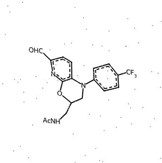 CC(=O)NCC1CN(c2ccc(C(F)(F)F)cc2)c2ccc(C=O)nc2O1